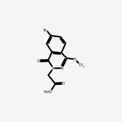 COC(=O)Cn1nc(OC(F)(F)F)c2ccc(Br)cc2c1=O